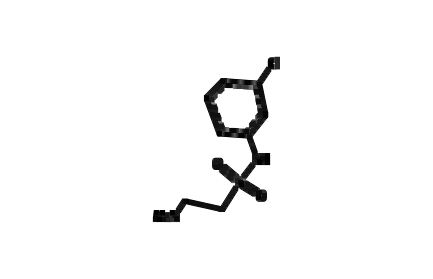 CNCCS(=O)(=O)Nc1cccc(Cl)c1